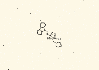 O=C(N[C@H](CC1CCOCC1)C(=O)O)OCC1c2ccccc2-c2ccccc21